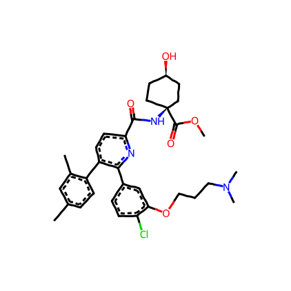 COC(=O)[C@]1(NC(=O)c2ccc(-c3ccc(C)cc3C)c(-c3ccc(Cl)c(OCCCN(C)C)c3)n2)CC[C@@H](O)CC1